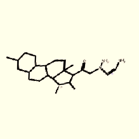 CC1CCC2C(CCC3C2CCC2(C)C(C(=O)CN(N)/C=C\N)C(C)[C@@H](C)C32)C1